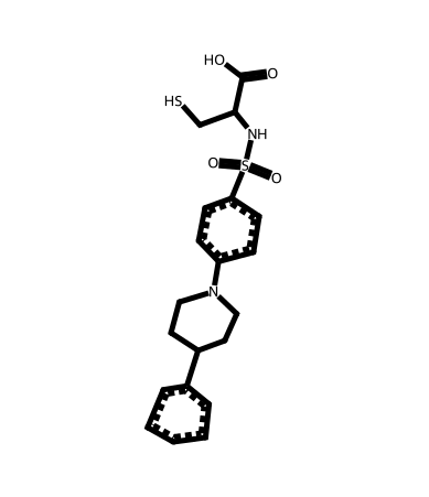 O=C(O)C(CS)NS(=O)(=O)c1ccc(N2CCC(c3ccccc3)CC2)cc1